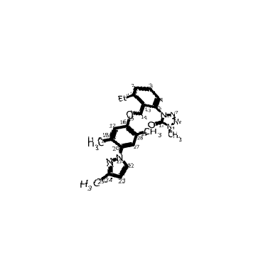 CCc1cccc(-n2nnn(C)c2=O)c1COc1cc(C)c(-n2ccc(C)n2)cc1C